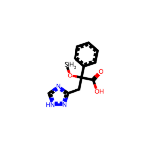 O=C(O)C(Cc1nc[nH]n1)(O[SiH3])c1ccccc1